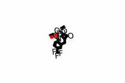 CCON1c2ccc(C(F)(F)F)cc2CC2C(=O)C(=O)C21P(=O)(OCC)OCC